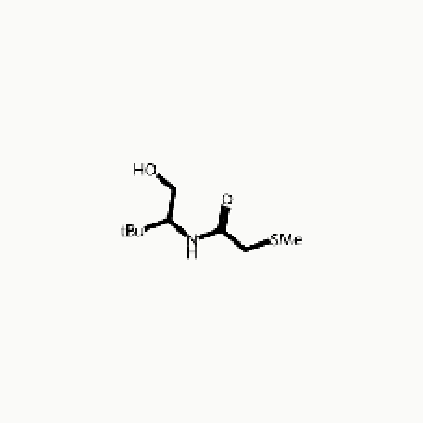 CSCC(=O)NC(CO)C(C)(C)C